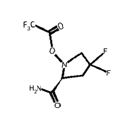 NC(=O)[C@@H]1CC(F)(F)CN1OC(=O)C(F)(F)F